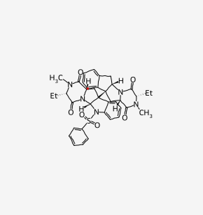 CC[C@H]1C(=O)N2[C@H]3Cc4ccccc4[C@@]3(C34C[C@H]5C(=O)N(C)[C@@H](CC)C(=O)N5[C@H]3N(S(=O)(=O)c3ccccc3)c3ccccc34)C[C@H]2C(=O)N1C